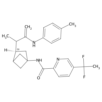 C=C(Nc1ccc(C)cc1)C(C)[C@H]1CC2(NC(=O)c3ccc(C(C)(F)F)cn3)CC1C2